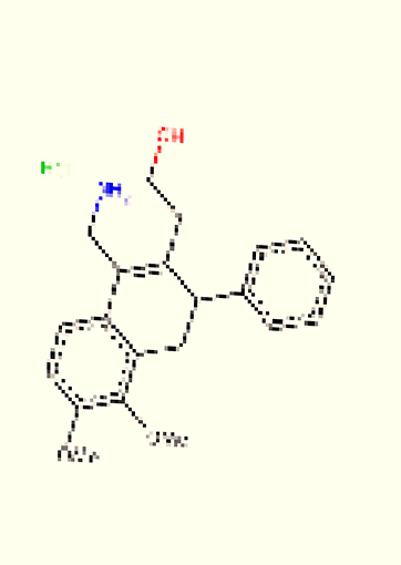 COc1ccc2c(c1OC)CC(c1ccccc1)C(CCO)=C2CN.Cl